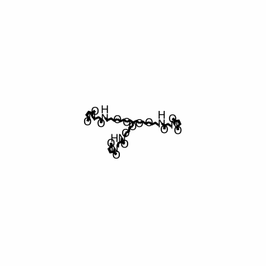 O=C(CCN1C(=O)C=CC1=O)NCCCOCCOCC(COCCOCCCNC(=O)CCN1C(=O)C=CC1=O)OCCOCNC(=O)CCN1C(=O)C=CC1=O